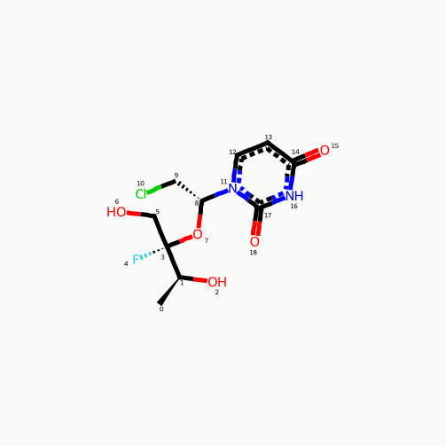 C[C@H](O)[C@@](F)(CO)O[C@H](CCl)n1ccc(=O)[nH]c1=O